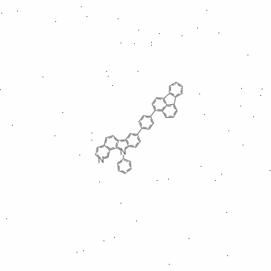 c1ccc(-n2c3ccc(-c4ccc(-c5ccc6c7c(cccc57)-c5ccccc5-6)cc4)cc3c3ccc4ccncc4c32)cc1